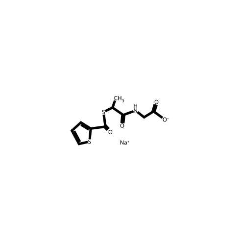 CC(SC(=O)c1cccs1)C(=O)NCC(=O)[O-].[Na+]